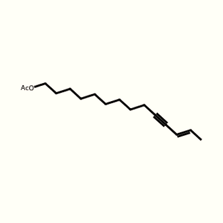 CC=CC#CCCCCCCCCCOC(C)=O